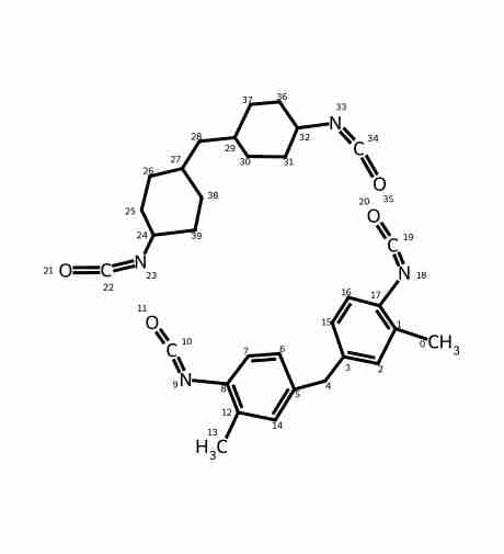 Cc1cc(Cc2ccc(N=C=O)c(C)c2)ccc1N=C=O.O=C=NC1CCC(CC2CCC(N=C=O)CC2)CC1